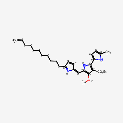 C=CCCCCCCCCCC1=N/C(=C/c2[nH]c(-c3ccc(C)[nH]3)c(C(=O)OCC)c2OCC)C=C1